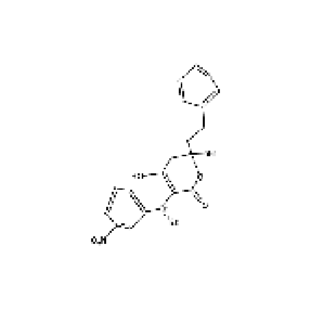 CCCC1(CCc2ccccc2)CC(O)=C([C@H](CC)c2cccc([N+](=O)[O-])c2)C(=O)O1